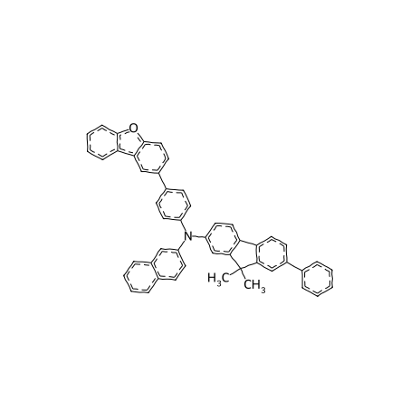 CC1(C)c2cc(-c3ccccc3)ccc2-c2ccc(N(c3ccc(-c4ccc5oc6ccccc6c5c4)cc3)c3ccc4ccccc4c3)cc21